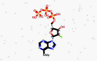 CNc1ncnc2c1ncn2[C@@H]1O[C@H](COP(=O)(O)OP(=O)(O)OP(=O)(O)O)[C@@H](O)[C@H]1F